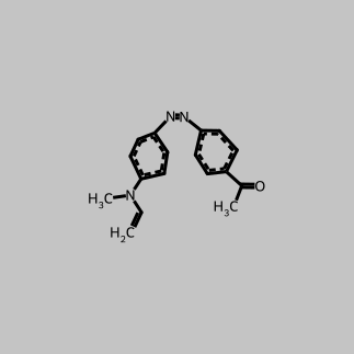 C=CN(C)c1ccc(/N=N\c2ccc(C(C)=O)cc2)cc1